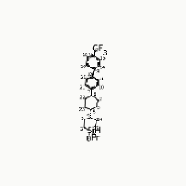 CCC[SiH]1CCC([C@H]2CC[C@H](c3ccc(-c4ccc(C(F)(F)F)cc4)cc3)CC2)CC1